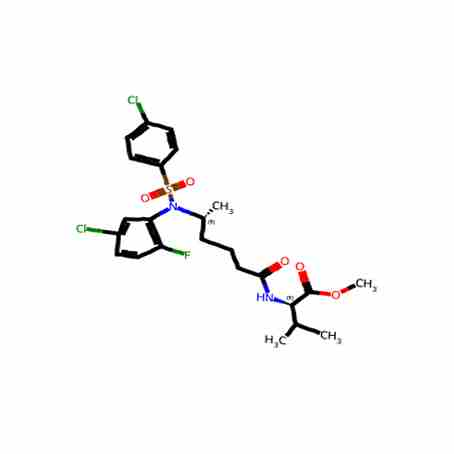 COC(=O)[C@H](NC(=O)CCC[C@@H](C)N(c1cc(Cl)ccc1F)S(=O)(=O)c1ccc(Cl)cc1)C(C)C